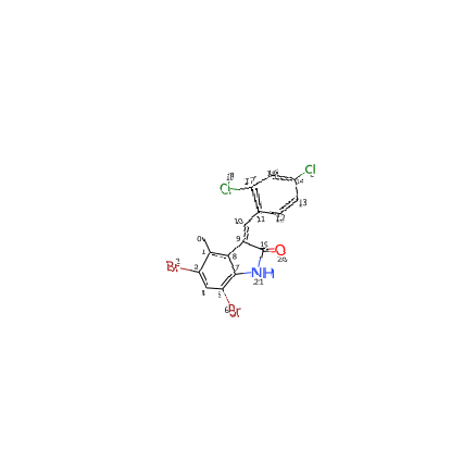 Cc1c(Br)cc(Br)c2c1C(=Cc1ccc(Cl)cc1Cl)C(=O)N2